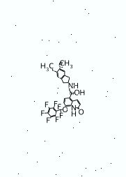 CCc1cc2c(cc1CC)CC(NC[C@@H](O)c1ccc(OC(F)(F)c3c(F)c(F)c(F)c(F)c3F)c3[nH]c(=O)ccc13)C2